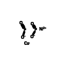 O=P[O-].O=P[O-].[Cu].[Ni+2]